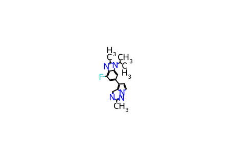 Cc1ncc2c(-c3cc(F)c4nc(C)n(C(C)C)c4c3)ccn2n1